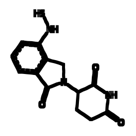 O=C1CCC(N2Cc3c(NS)cccc3C2=O)C(=O)N1